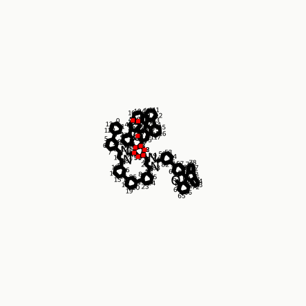 c1ccc(-c2cccc(-c3cc(-c4cccc(-c5cccc(-c6cccc(-c7cc(-c8ccc(-c9cccc%10c9oc9ccccc9%10)cc8)nc(-c8cccc(-c9ccc%10c(c9)Oc9ccccc9C%109c%10ccccc%10-c%10ccccc%109)c8)n7)c6)c5)c4)nc(-c4cccc(-c5ccc6c(c5)Oc5ccccc5C65c6ccccc6-c6ccccc65)c4)n3)c2)cc1